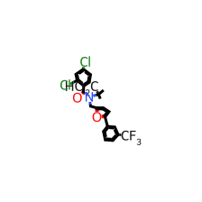 CC(C)(C(=O)O)N(Cc1ccc(-c2cccc(C(F)(F)F)c2)o1)C(=O)c1ccc(Cl)cc1Cl